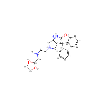 CN(CCN1CCC(C(C(N)=O)(c2ccccc2)c2ccccc2)C1)CC1OCCO1